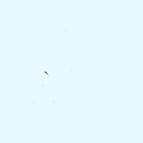 CN1C(=N)N[C@](C)(c2ccc(C#N)s2)C(c2ccc(C3CCC3)cc2)C1=O